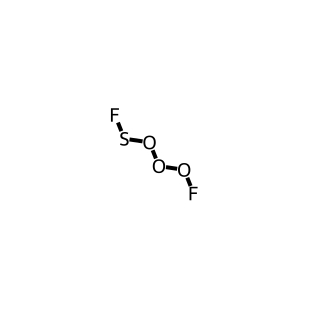 FOOOSF